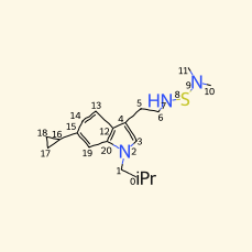 CC(C)Cn1cc(CCNSN(C)C)c2ccc(C3CC3)cc21